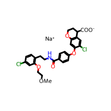 COCCOc1cc(Cl)ccc1CCNC(=O)c1ccc(Oc2cc3c(cc2Cl)C(C(=O)[O-])CCO3)cc1.[Na+]